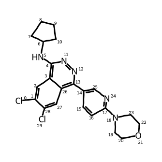 Clc1cc2c(NC3CCCC3)nnc(-c3ccc(N4CCOCC4)nc3)c2cc1Cl